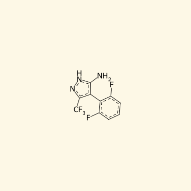 Nc1[nH]nc(C(F)(F)F)c1-c1c(F)cccc1F